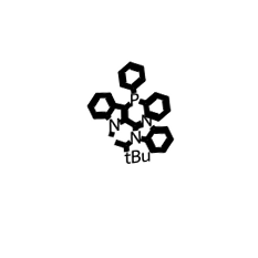 CC(n1c(-c2c(P(c3ccccc3)c3ccccc3)c3ccccc3n2C)nc2ccccc21)C(C)(C)C